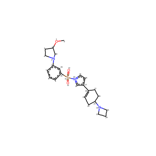 COC1CCN(c2cccc(S(=O)(=O)n3ccc(C4=CCC(N5CCC5)CC4)c3)c2)C1